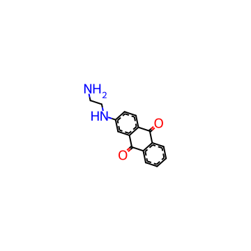 NCCNc1ccc2c(c1)C(=O)c1ccccc1C2=O